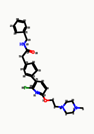 CN1CCN(CCOc2ccc(-c3ccc(CC(=O)NCc4ccccc4)cc3)c(F)n2)CC1